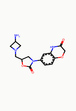 NC1CN(CC2CN(c3ccc4c(c3)NC(=O)CO4)C(=O)O2)C1